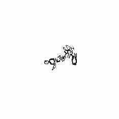 COc1ccc(N2CCN(C(=O)c3csc4c(O)nc(C5=CCCC=N5)nc34)CC2)c(OC)c1